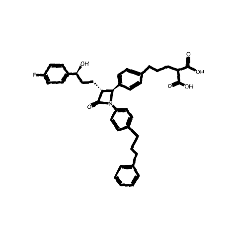 O=C(O)C(CCCc1ccc([C@@H]2[C@@H](CC[C@H](O)c3ccc(F)cc3)C(=O)N2c2ccc(CCCc3ccccc3)cc2)cc1)C(=O)O